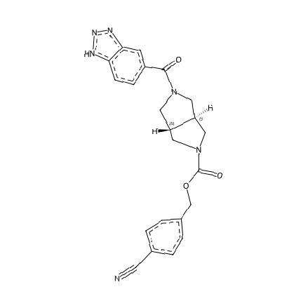 N#Cc1ccc(COC(=O)N2C[C@@H]3CN(C(=O)c4ccc5[nH]nnc5c4)C[C@H]3C2)cc1